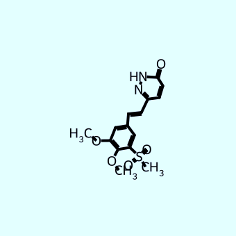 COc1cc(C=Cc2ccc(=O)[nH]n2)cc(S(C)(=O)=O)c1OC